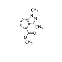 COC(=O)c1cccc2c1c(C)nn2C